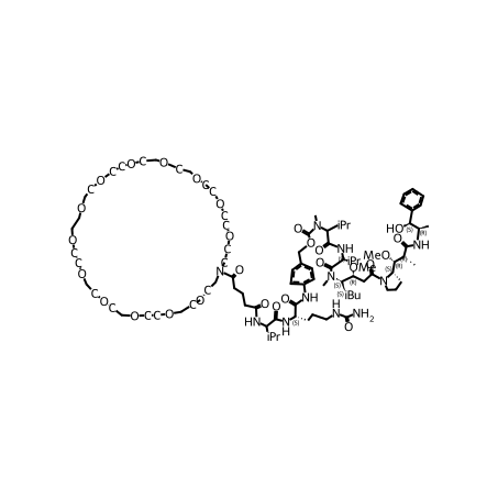 CC[C@H](C)[C@@H]([C@@H](CC(=O)N1CCC[C@H]1[C@H](OC)[C@@H](C)C(=O)N[C@H](C)[C@@H](O)c1ccccc1)OC)N(C)C(=O)[C@@H](NC(=O)C(C(C)C)N(C)C(=O)OCc1ccc(NC(=O)[C@H](CCCNC(N)=O)NC(=O)C(NC(=O)CCCC(=O)N2CCOCCOCCOCCOCCOCCOCCOCCOCCOCCOCCOCCOCCOCC2)C(C)C)cc1)C(C)C